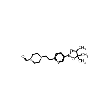 CC1OB(c2ccc(CCN3CCN(C=O)CC3)nc2)OC1(C)C